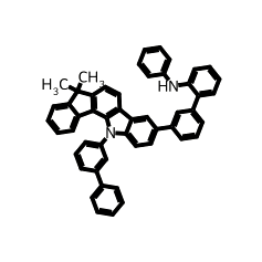 CC1(C)c2ccccc2-c2c1ccc1c3cc(-c4cccc(-c5ccccc5Nc5ccccc5)c4)ccc3n(-c3cccc(-c4ccccc4)c3)c21